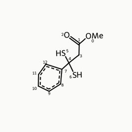 COC(=O)CC(S)(S)c1ccccc1